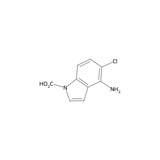 Nc1c(Cl)ccc2c1ccn2C(=O)O